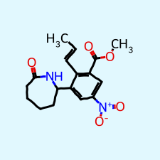 CC=Cc1c(C(=O)OC)cc([N+](=O)[O-])cc1C1CCCCC(=O)N1